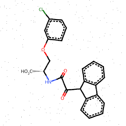 O=C(N[C@@H](COc1cccc(Cl)c1)C(=O)O)C(=O)C1c2ccccc2-c2ccccc21